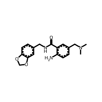 CN(C)Cc1ccc(N)c(C(=O)NCc2ccc3c(c2)OCO3)c1